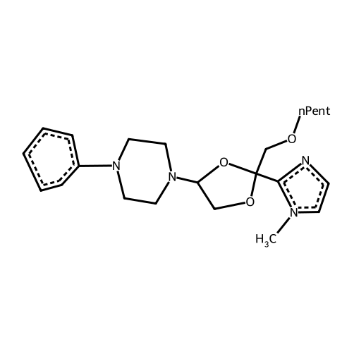 CCCCCOCC1(c2nccn2C)OCC(N2CCN(c3ccccc3)CC2)O1